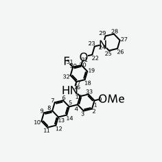 COc1ccc(-c2ccc3ccccc3c2)c(Nc2ccc(OCCN3CCCCC3)c(F)c2)c1